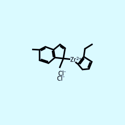 CCC1=[C]([Zr+2][C]2(C)C=Cc3cc(C)ccc32)CC=C1.[Cl-].[Cl-]